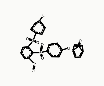 O=C1C2=CC=C1C=C2.O=Pc1cccc(S(=O)(=O)c2ccc(Cl)cc2)c1S(=O)(=O)c1ccc(Cl)cc1